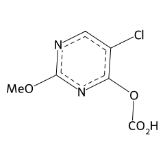 COc1ncc(Cl)c(OC(=O)O)n1